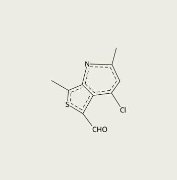 Cc1cc(Cl)c2c(C=O)sc(C)c2n1